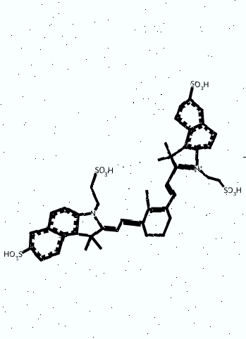 CC1=C(/C=C/C2=[N+](CCS(=O)(=O)O)c3ccc4cc(S(=O)(=O)O)ccc4c3C2(C)C)CCC/C1=C\C=C1/N(CCS(=O)(=O)O)c2ccc3cc(S(=O)(=O)O)ccc3c2C1(C)C